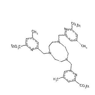 CCOC(=O)c1cc(C)cc(CN2CCN(Cc3cc(C)cc(C(=O)OCC)n3)CCN(Cc3cc(C)cc(C(=O)OCC)n3)CC2)n1